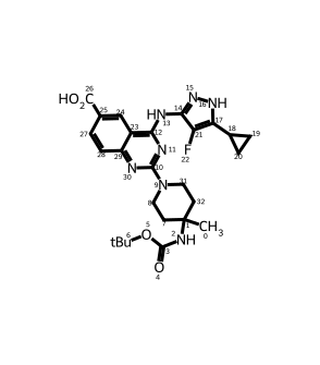 CC1(NC(=O)OC(C)(C)C)CCN(c2nc(Nc3n[nH]c(C4CC4)c3F)c3cc(C(=O)O)ccc3n2)CC1